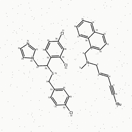 CN(C/C=C/C#CC(C)(C)C)Cc1cccc2ccccc12.Clc1ccc(CSC(Cn2ccnc2)c2ccc(Cl)cc2Cl)cc1